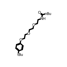 CCCCC(=O)NCCOCCOCCOc1ccc(C(C)(C)C)cc1